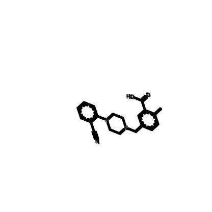 Cc1ccc(CN2CCN(c3ccccc3C#N)CC2)cc1C(=O)O